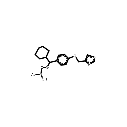 CC(=O)N(O)O[N]C(c1ccc(OCc2cscn2)cc1)C1CCCCC1